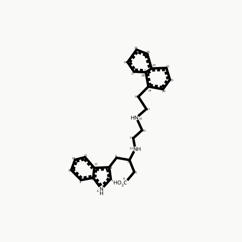 O=C(O)CC(Cc1c[nH]c2ccccc12)NCCNCCc1cccc2ccccc12